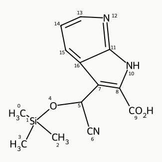 C[Si](C)(C)OC(C#N)c1c(C(=O)O)[nH]c2ncccc12